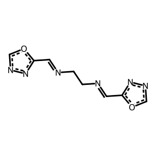 C(=N\CC/N=C/c1nnco1)/c1nnco1